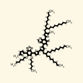 CCCCCCCCCCC(CCCCCCCC)Cc1cc(-c2c(F)c(F)c(-c3cc(CC(CCCCCCCC)CCCCCCCCCC)c(-c4ccc(-c5c(OCCCCCC)c(OCCCCCC)c(-c6ccc(C)s6)c6nsnc56)s4)s3)c3nsnc23)sc1C